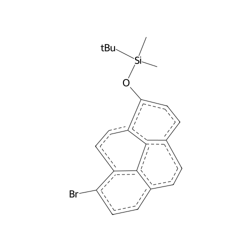 CC(C)(C)[Si](C)(C)Oc1ccc2ccc3ccc(Br)c4ccc1c2c34